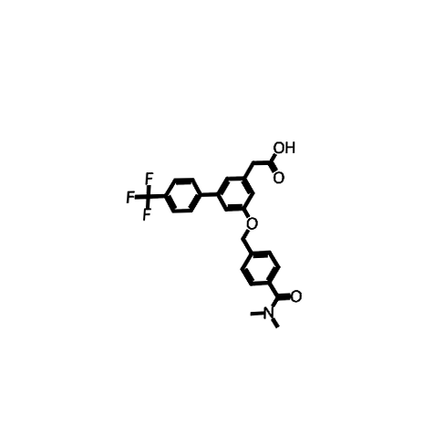 CN(C)C(=O)c1ccc(COc2cc(CC(=O)O)cc(-c3ccc(C(F)(F)F)cc3)c2)cc1